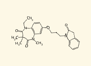 CCN1C(=O)C(C)(C)C(=O)N(C)c2cc(OCCCN3C(=O)Cc4ccccc43)ccc21